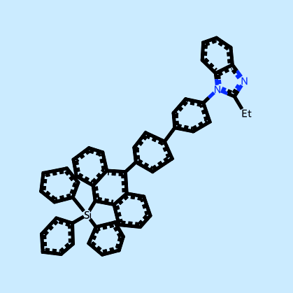 CCc1nc2ccccc2n1-c1ccc(-c2ccc(-c3c4ccccc4c([Si](c4ccccc4)(c4ccccc4)c4ccccc4)c4ccccc34)cc2)cc1